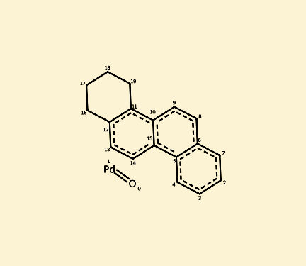 [O]=[Pd].c1ccc2c(c1)ccc1c3c(ccc12)CCCC3